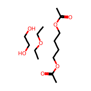 CC(=O)OCCCCOC(C)=O.CCOCC.OCCO